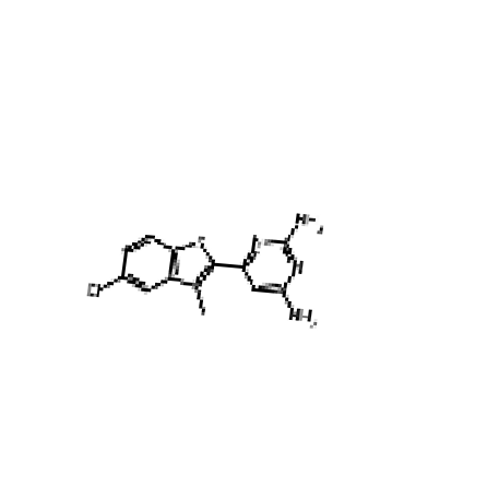 Cc1c(-c2cc(N)nc(N)n2)sc2ccc(Cl)cc12